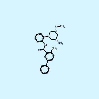 CO[C@@H]1C[C@H](N)CN(c2ccncc2NC(=O)c2nc(-c3ccccc3)ccc2N)C1